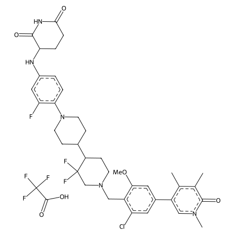 COc1cc(-c2cn(C)c(=O)c(C)c2C)cc(Cl)c1CN1CCC(C2CCN(c3ccc(NC4CCC(=O)NC4=O)cc3F)CC2)C(F)(F)C1.O=C(O)C(F)(F)F